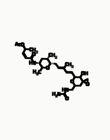 CC(=O)O[C@@H](C)/C=C\C(=O)N[C@@H]1C[C@H](C)[C@H](C/C=C(\C)C=CC2OC(CNC(N)=O)CC3(CO3)C2O)OC1C